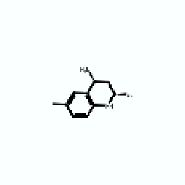 CC[C@@H]1C[C@H](N)c2cc(C)ccc2N1